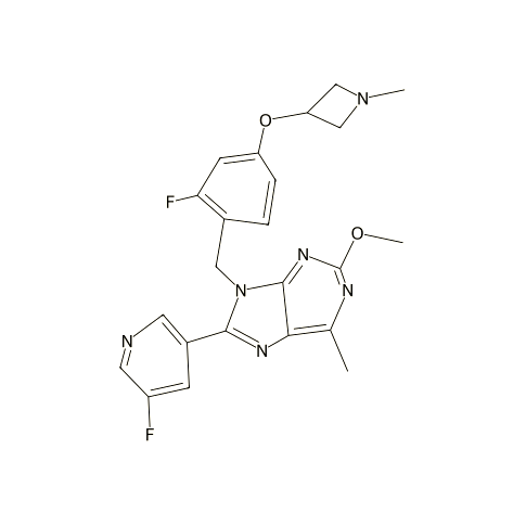 COc1nc(C)c2nc(-c3cncc(F)c3)n(Cc3ccc(OC4CN(C)C4)cc3F)c2n1